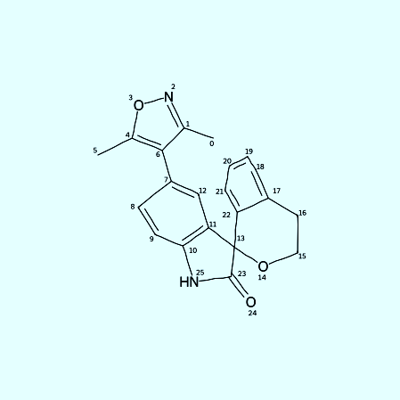 Cc1noc(C)c1-c1ccc2c(c1)C1(OCCc3ccccc31)C(=O)N2